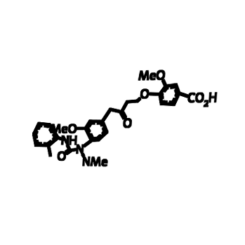 CNN(C(=O)Nc1ccccc1C)c1ccc(CC(=O)CCOc2ccc(C(=O)O)cc2OC)cc1OC